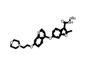 CCCCNC(=O)c1c(C)oc2cc(Oc3ccnc4cc(OCCN5CCOCC5)ccc34)ccc12